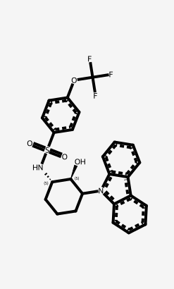 O=S(=O)(N[C@H]1CCCC(n2c3ccccc3c3ccccc32)[C@@H]1O)c1ccc(OC(F)(F)F)cc1